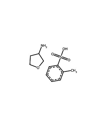 Cc1ccccc1S(=O)(=O)O.NC1CCOC1